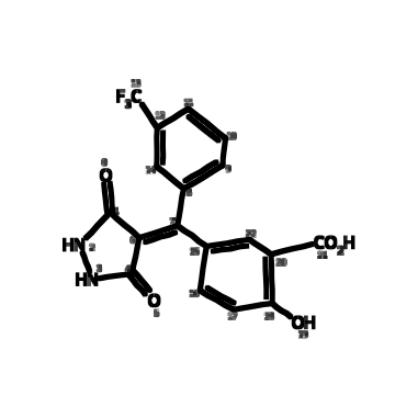 O=C1NNC(=O)C1=C(c1cccc(C(F)(F)F)c1)c1ccc(O)c(C(=O)O)c1